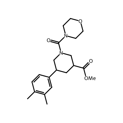 COC(=O)C1CC(c2ccc(C)c(C)c2)CN(C(=O)N2CCOCC2)C1